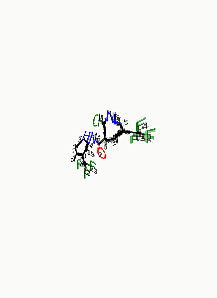 Cc1ccc(NC(=O)c2cc(C(F)(F)F)cnc2Cl)cc1C(F)(F)F